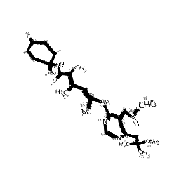 CCC(C)C1(NC(=O)/C(C)=C(C)/C=C(/Nc2ncnc(CC(C)(C)OC)c2CNC=O)C(C)=O)CCC(F)CC1